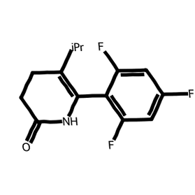 CC(C)C1=C(c2c(F)cc(F)cc2F)NC(=O)CC1